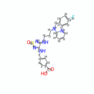 O=C(O)c1ccc(CNc2n[s+]([O-])nc2NCCCN(Cc2ccc(F)cc2)c2ccccn2)cc1